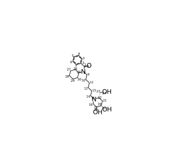 O=C(c1ccccc1)N(CCCCCCN1C[C@H](O)[C@@H](O)C[C@H]1CO)C1CCCCC1